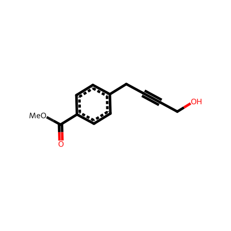 COC(=O)c1ccc(CC#CCO)cc1